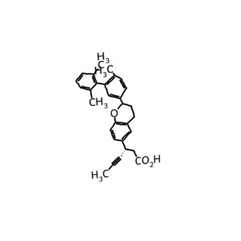 CC#C[C@@H](CC(=O)O)c1ccc2c(c1)CCC(c1ccc(C)c(-c3c(C)cccc3C)c1)O2